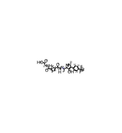 C/C(=N\NC(=O)c1ccc(C(=O)NCC(=O)O)s1)c1nn(C)c(-c2ccc(C(F)(F)F)cc2)c1O